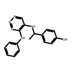 CC(Nc1cnnnc1Nc1ccccc1)c1ccc(O)cc1